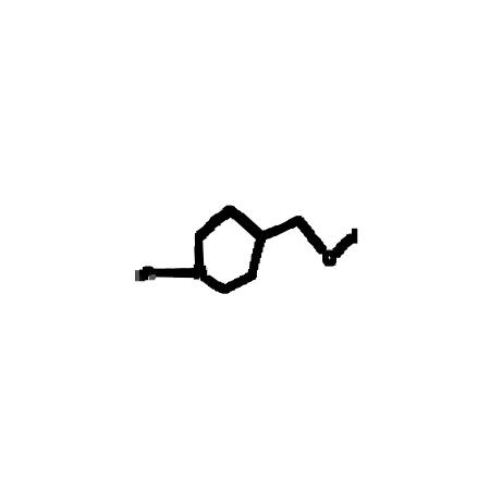 CCCN1CCC(COI)CC1